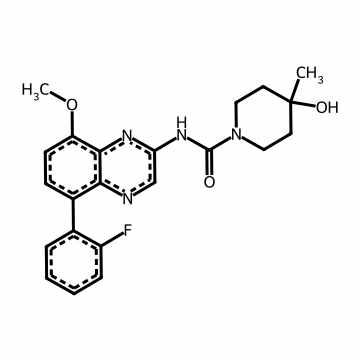 COc1ccc(-c2ccccc2F)c2ncc(NC(=O)N3CCC(C)(O)CC3)nc12